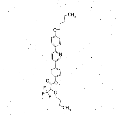 CCCCCOc1ccc(-c2ccc(-c3ccc(OC(=O)C(OCCCC)C(F)(F)F)cc3)cn2)cc1